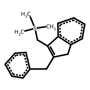 CS(C)(C)CC1=C(Cc2ccccc2)Cc2ccccc21